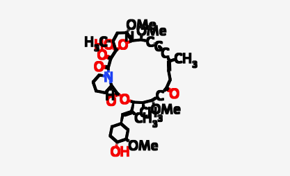 CO[C@H]1CC(=O)C/C=C(\C)CCC[C@H](OC)[C@H]2O[C@@](O)(C(=O)C(=O)N3CCCC[C@H]3C(=O)O[C@H](/C(C)=C/[C@@H]3CC[C@@H](O)[C@H](OC)C3)[C@@H]1C)[C@H](C)C[C@@H]2OC